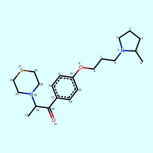 CC1CCCN1CCCOc1ccc(C(=O)C(C)N2CCSCC2)cc1